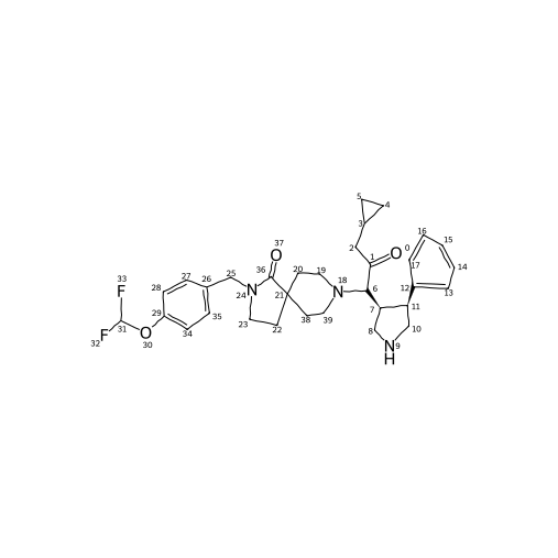 O=C(CC1CC1)C([C@@H]1CNC[C@@H]1c1ccccc1)N1CCC2(CCN(Cc3ccc(OC(F)F)cc3)C2=O)CC1